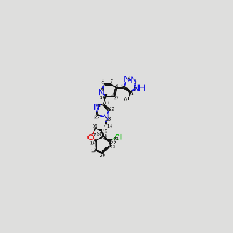 Cc1[nH]nnc1-c1ccnc(-c2cn(C[C@H]3COc4cccc(Cl)c43)cn2)c1